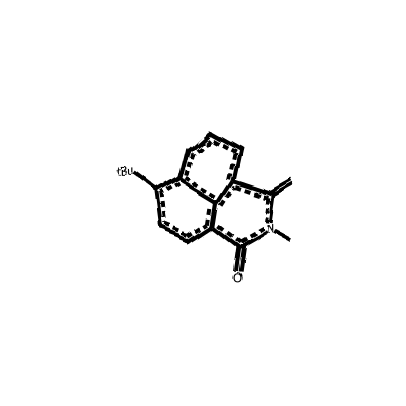 C=c1c2cccc3c(C(C)(C)C)ccc(c(=O)n1C)c32